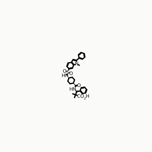 Cn1c(-c2ccccc2)cc2ccc(S(=O)(=O)N[C@H]3CC[C@H](C(=O)N[C@@H](c4ccccc4)C(C)(C)C(=O)O)CC3)cc21